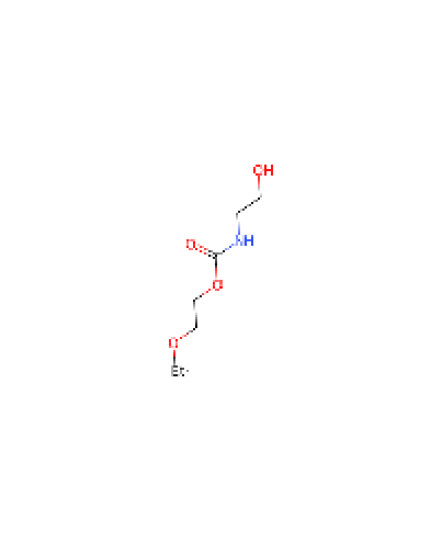 C[CH]OCCOC(=O)NCCO